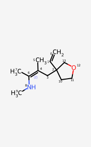 C=CC1(C/C(C)=C(/C)NC)CCOC1